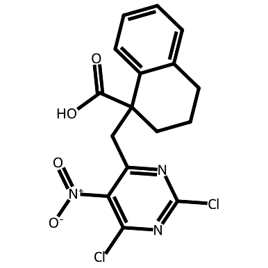 O=C(O)C1(Cc2nc(Cl)nc(Cl)c2[N+](=O)[O-])CCCc2ccccc21